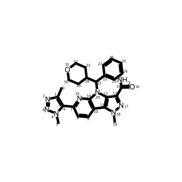 Cc1nnn(C)c1-c1ccc2c3c(c(C(N)=O)nn3C)n(C(c3ccccc3)C3CCOCC3)c2n1